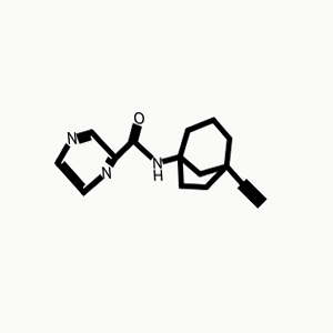 C#CC12CCCC(NC(=O)c3cnccn3)(CC1)C2